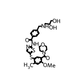 COc1cc(C)c(Sc2cnc(NC(=O)c3ccc(CNC[C@@H](O)CO)cc3)s2)cc1C(=O)N1CCOCC1